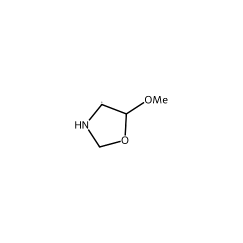 COC1[CH]NCO1